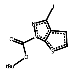 CC(C)(C)OC(=O)n1nc(I)c2ccsc21